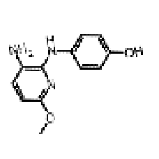 COc1ccc(N)c(Nc2ccc(O)cc2)n1